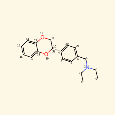 CCN(CC)Cc1ccc([C@H]2COc3ccccc3O2)cc1